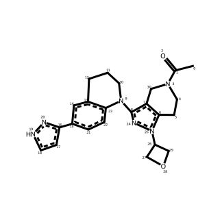 CC(=O)N1CCc2c(c(N3CCCc4cc(-c5cc[nH]n5)ccc43)nn2C2COC2)C1